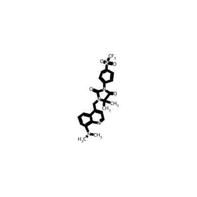 CN(C)c1cccc2c(CN3C(=O)N(c4ccc(S(=O)(=O)C(F)(F)F)cc4)C(=O)C3(C)C)ccnc12